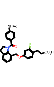 CC(=O)Nc1ccc(C(=O)N2CCc3cccc(COc4ccc(CCC(=O)O)c(F)c4)c32)cc1